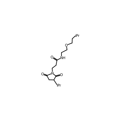 CC(C)CCOCCNC(=O)CCN1C(=O)CC(C(C)C)C1=O